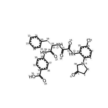 O=C1CCN(c2ccc(Cl)cc2NC(=O)C(=O)N[C@@H](Cc2ccccc2)C(=O)Nc2ccc(C(=O)O)cc2)C1